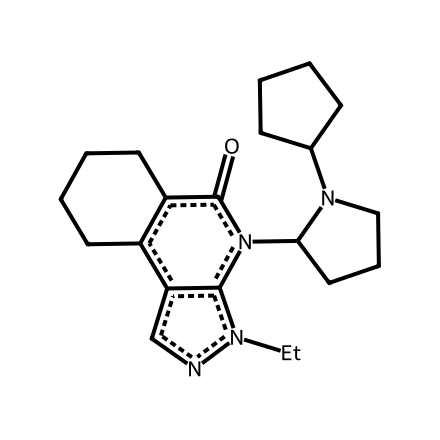 CCn1ncc2c3c(c(=O)n(C4CCCN4C4CCCC4)c21)CCCC3